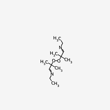 CCN=CC(C)(C)OOC(C)(C)C=NCC